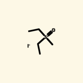 CC[S+](C)(=O)CC.[I-]